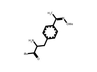 CCC(C)C(=O)C(N)Cc1ccc(/C(C)=N\OC)cc1